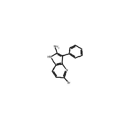 Nc1[nH]c2ccc(Br)nc2c1-c1ccccc1